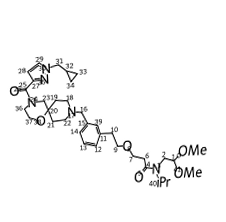 COC(CN(C(=O)CCOCCc1cccc(CN2CCC3(CC2)CN(C(=O)c2ccn(CC4CC4)n2)CCO3)c1)C(C)C)OC